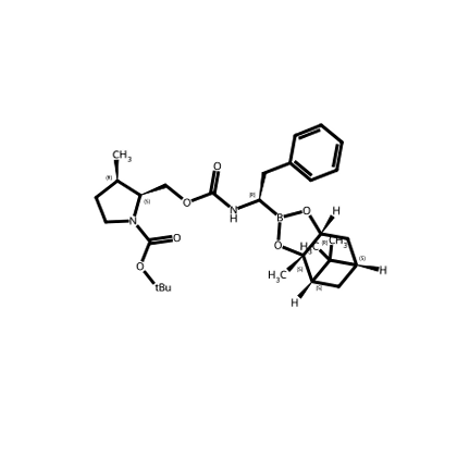 C[C@@H]1CCN(C(=O)OC(C)(C)C)[C@@H]1COC(=O)N[C@@H](Cc1ccccc1)B1O[C@@H]2C[C@@H]3C[C@@H](C3(C)C)[C@]2(C)O1